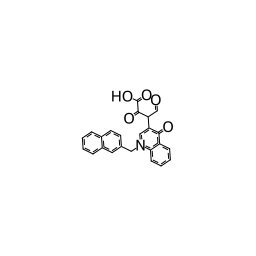 O=CC(C(=O)C(=O)O)c1cn(Cc2ccc3ccccc3c2)c2ccccc2c1=O